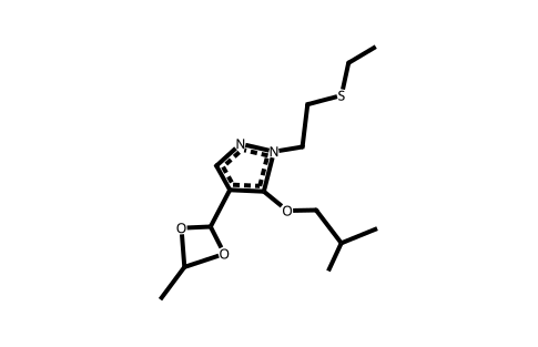 CCSCCn1ncc(C2OC(C)O2)c1OCC(C)C